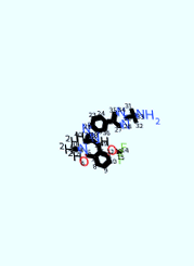 [2H]C([2H])([2H])N1C(=O)c2cccc(OC(F)F)c2[C@H]2C[C@@H]1c1nc3ccc(-c4cnc(C(C)(C)N)nc4)cc3n12